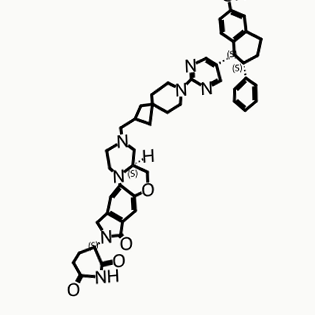 O=C1CC[C@H](N2Cc3cc4c(cc3C2=O)OC[C@@H]2CN(CC3CC5(CCN(c6ncc([C@@H]7c8ccc(O)cc8CC[C@@H]7c7ccccc7)cn6)CC5)C3)CCN42)C(=O)N1